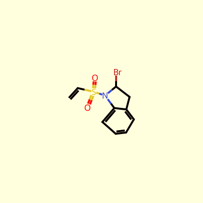 C=CS(=O)(=O)N1c2ccccc2CC1Br